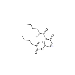 C=C(CCCC)C(=O)OC(=O)/C=C\C(=O)OC(=O)C(=C)CCCC